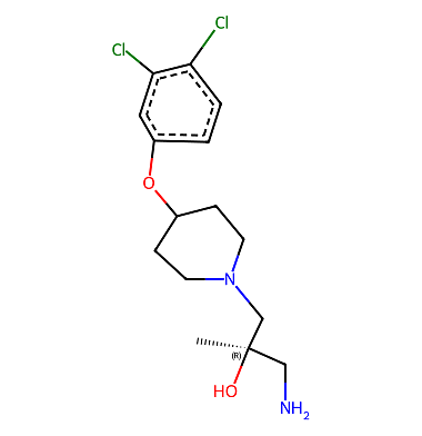 C[C@@](O)(CN)CN1CCC(Oc2ccc(Cl)c(Cl)c2)CC1